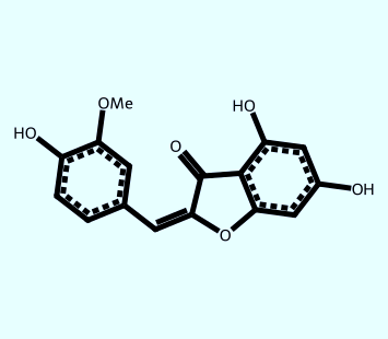 COc1cc(C=C2Oc3cc(O)cc(O)c3C2=O)ccc1O